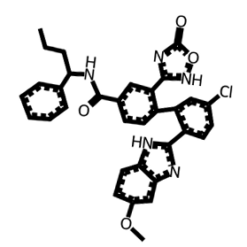 CCCC(NC(=O)c1ccc(-c2cc(Cl)ccc2-c2nc3cc(OC)ccc3[nH]2)c(-c2nc(=O)o[nH]2)c1)c1ccccc1